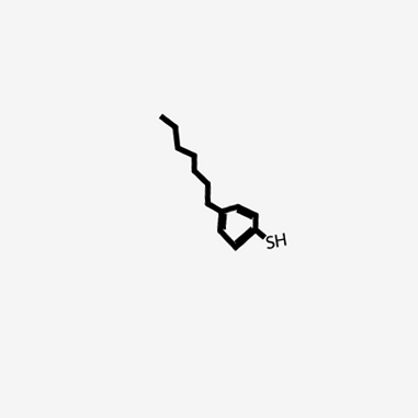 CCCCCCCc1ccc(S)cc1